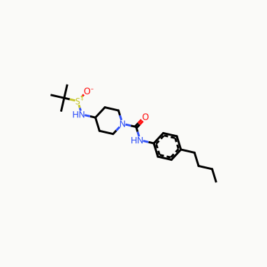 CCCCc1ccc(NC(=O)N2CCC(N[S+]([O-])C(C)(C)C)CC2)cc1